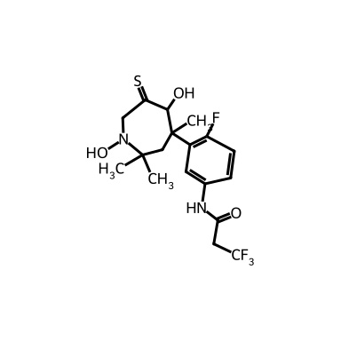 CC1(c2cc(NC(=O)CC(F)(F)F)ccc2F)CC(C)(C)N(O)CC(=S)C1O